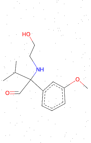 COc1cccc(C(C=O)(NCCO)[C](C)C)c1